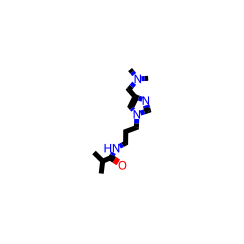 CC(C)C(=O)NCCCn1cnc(CN(C)C)c1